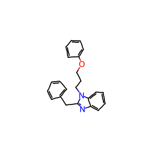 c1ccc(Cc2nc3ccccc3n2CCCOc2ccccc2)cc1